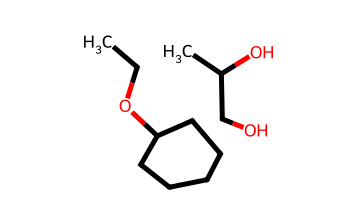 CC(O)CO.CCOC1CCCCC1